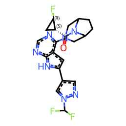 O=C([C@@H]1C[C@H]1F)N1C2CCC1CN(c1ncnc3[nH]c(-c4cnn(C(F)F)c4)cc13)C2